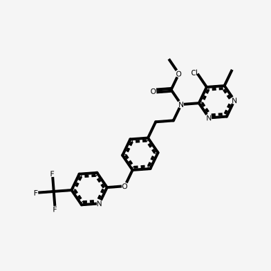 COC(=O)N(CCc1ccc(Oc2ccc(C(F)(F)F)cn2)cc1)c1ncnc(C)c1Cl